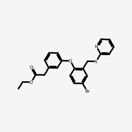 CCOC(=O)Cc1cccc(Oc2ccc(Br)cc2CSc2ccccn2)c1